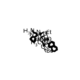 CCOCc1nc2c(N)nc3ccccc3c2n1[C@](O)(CC)CO[P@@](=O)(N[C@@H](C)C(=O)OC(C)(C)C)Oc1ccc2ccccc2c1